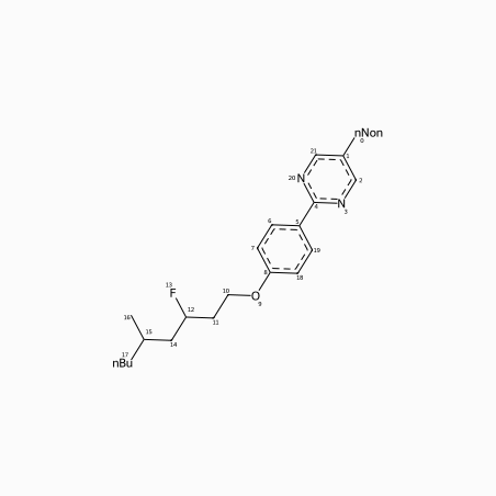 CCCCCCCCCc1cnc(-c2ccc(OCCC(F)CC(C)CCCC)cc2)nc1